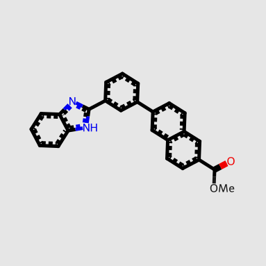 COC(=O)c1ccc2cc(-c3cccc(-c4nc5ccccc5[nH]4)c3)ccc2c1